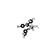 C[C@H]1O[C@H](c2cn(-c3ccc(Br)cc3)nc2-c2ccc(Cl)cn2)N(CCc2ccc3c(c2)=CC(=O)N=3)C1=O